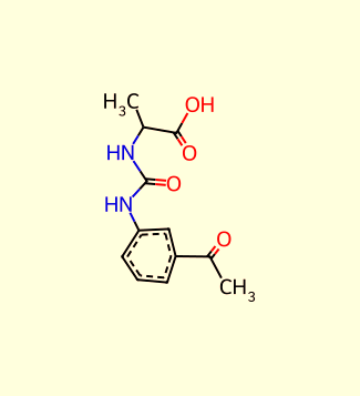 CC(=O)c1cccc(NC(=O)NC(C)C(=O)O)c1